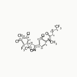 CN(C(=O)CSCC(F)(F)F)c1ccc(C2=NOC(c3cc(Cl)c(Cl)c(Cl)c3)(C(F)(F)F)C2)cc1Cl